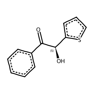 O=C(c1ccccc1)[C@H](O)c1cccs1